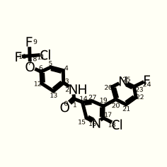 O=C(Nc1ccc(OC(F)(F)Cl)cc1)c1cnc(Cl)c(-c2ccc(F)nc2)c1